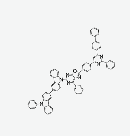 c1ccc(-c2ccc(-c3cc(-c4ccc(-c5nc6c(-c7ccccc7)nc(-n7c8ccccc8c8cc(-c9ccc%10c(c9)c9ccccc9n%10-c9ccccc9)ccc87)nc6o5)cc4)nc(-c4ccccc4)n3)cc2)cc1